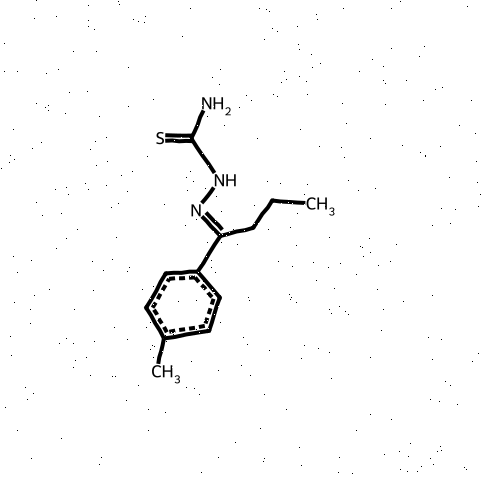 CCCC(=NNC(N)=S)c1ccc(C)cc1